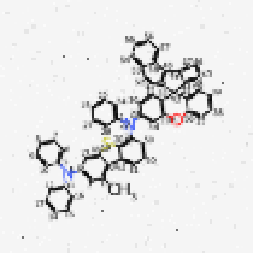 Cc1cc(N(c2ccccc2)c2ccccc2)cc2sc3c(N(c4ccccc4)c4ccc5c(c4)Oc4ccccc4C54c5ccccc5-c5c4ccc4ccccc54)cccc3c12